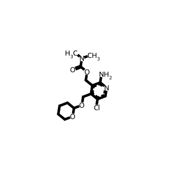 CN(C)C(=O)OCc1c(N)ncc(Cl)c1COC1CCCCO1